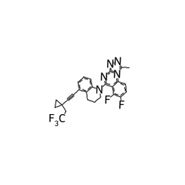 Cc1nnc2nc(N3CCCc4c(C#CC5(CC(F)(F)F)CC5)cccc43)c3c(F)c(F)ccc3n12